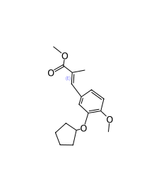 COC(=O)/C(C)=C/c1ccc(OC)c(OC2CCCC2)c1